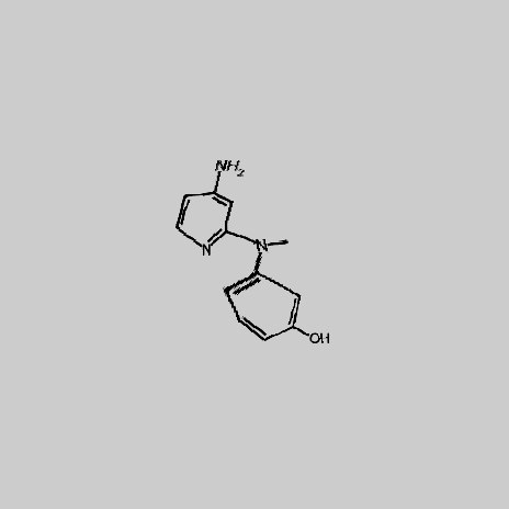 CN(c1cccc(O)c1)c1cc(N)ccn1